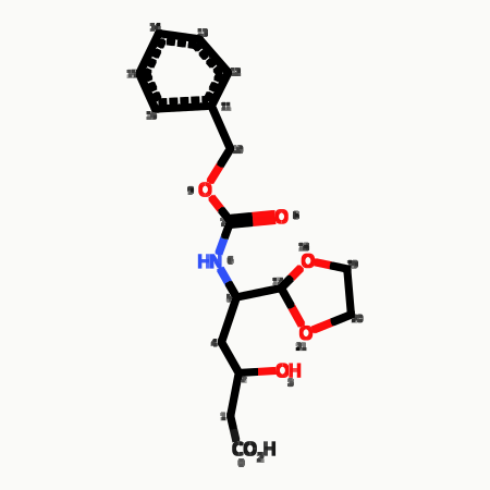 O=C(O)CC(O)CC(NC(=O)OCc1ccccc1)C1OCCO1